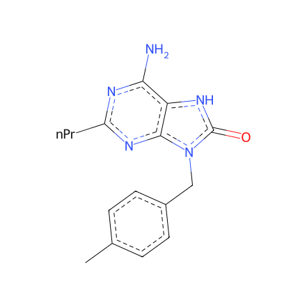 CCCc1nc(N)c2[nH]c(=O)n(Cc3ccc(C)cc3)c2n1